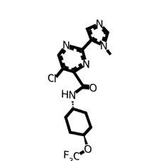 Cn1cncc1-c1ncc(Cl)c(C(=O)N[C@H]2CC[C@H](OC(F)(F)F)CC2)n1